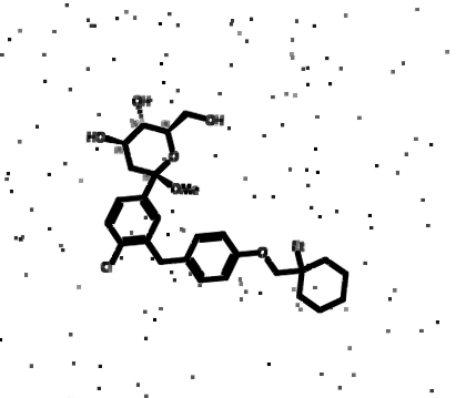 CCC1(COc2ccc(Cc3cc([C@]4(OC)C[C@@H](O)[C@H](O)[C@@H](CO)O4)ccc3Cl)cc2)CCCCC1